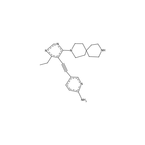 CCc1ncnc(N2CCC3(CCNCC3)CC2)c1C#Cc1ccc(N)nc1